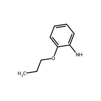 CCCOc1ccccc1[NH]